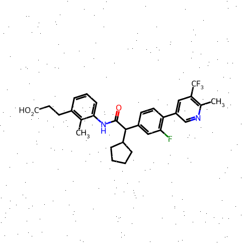 Cc1ncc(-c2ccc(C(C(=O)Nc3cccc(CCC(=O)O)c3C)C3CCCC3)cc2F)cc1C(F)(F)F